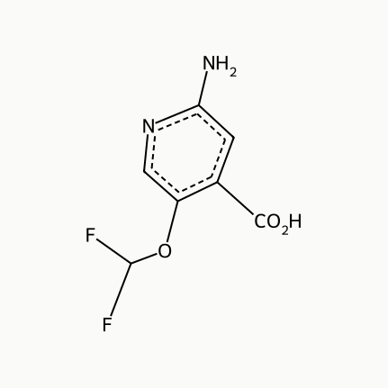 Nc1cc(C(=O)O)c(OC(F)F)cn1